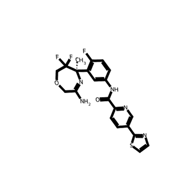 C[C@]1(c2cc(NC(=O)c3ccc(-c4nccs4)cn3)ccc2F)N=C(N)COCC1(F)F